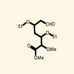 CCOC(CC=O)CC(OCC)C(OC)C(=O)OC